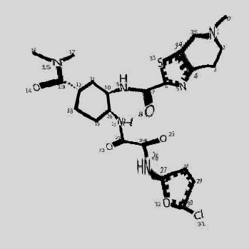 CN1CCc2nc(C(=O)N[C@@H]3C[C@@H](C(=O)N(C)C)CC[C@@H]3NC(=O)C(=O)Nc3ccc(Cl)o3)sc2C1